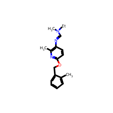 CCN(C)/C=N/c1ccc(OCc2ccccc2C)nc1C